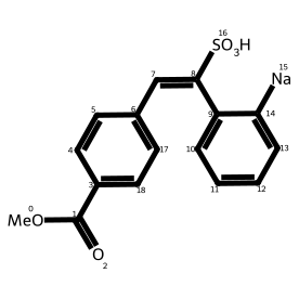 COC(=O)c1ccc(/C=C(\c2cccc[c]2[Na])S(=O)(=O)O)cc1